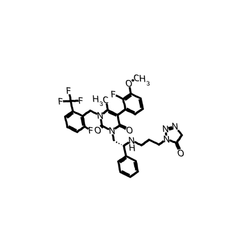 COc1cccc(-c2c(C)n(Cc3c(F)cccc3C(F)(F)F)c(=O)n(C[C@H](NCCCN3N=NCC3=O)c3ccccc3)c2=O)c1F